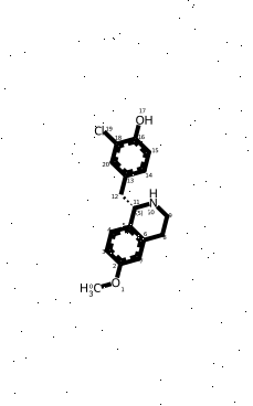 COc1ccc2c(c1)CCN[C@H]2Cc1ccc(O)c(Cl)c1